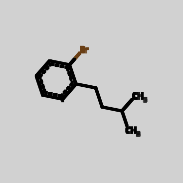 CC(C)CCc1[c]cccc1Br